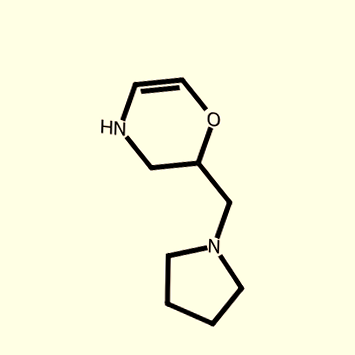 C1=COC(CN2CCCC2)CN1